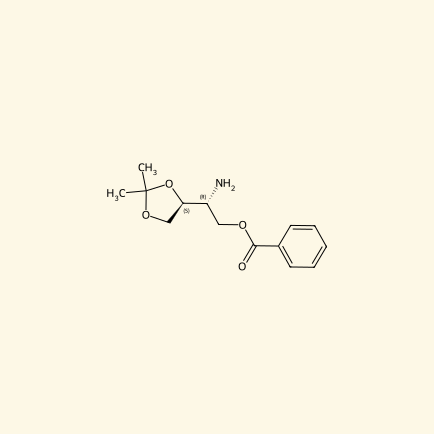 CC1(C)OC[C@H]([C@H](N)COC(=O)c2ccccc2)O1